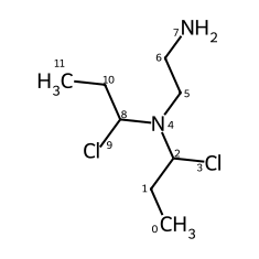 CCC(Cl)N(CCN)C(Cl)CC